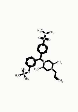 C=CCN1C[C@@H](C)N(C(c2ccc(S(=O)(=O)N(C)C)cc2)c2cccc(O[Si](C)(C)C(C)(C)C)c2)C[C@H]1C